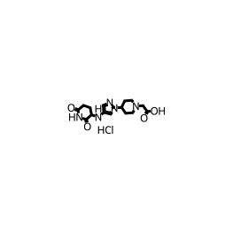 Cl.O=C(O)CN1CCC(n2cc(NC3CCC(=O)NC3=O)cn2)CC1